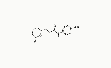 N#Cc1ccc(NC(=O)CCC2CCCC(=O)O2)cc1